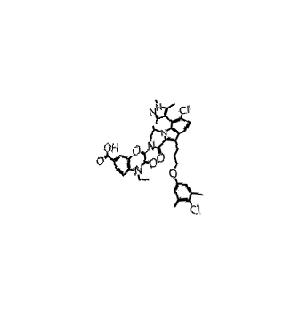 CCN1C(=O)[C@H](N2CC(C)n3c(c(CCCOc4cc(C)c(Cl)c(C)c4)c4ccc(Cl)c(-c5c(C)nn(C)c5C)c43)C2=O)Oc2cc(C(=O)O)ccc21